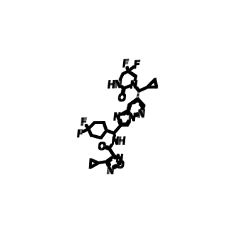 O=C(N[C@H](c1cn2ncc([C@@H](C3CC3)N3CC(F)(F)CNC3=O)cc2n1)C1CCC(F)(F)CC1)c1nonc1C1CC1